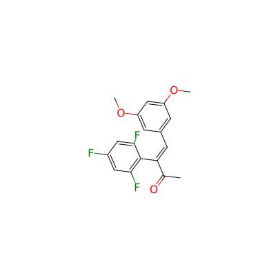 COc1cc(/C=C(/C(C)=O)c2c(F)cc(F)cc2F)cc(OC)c1